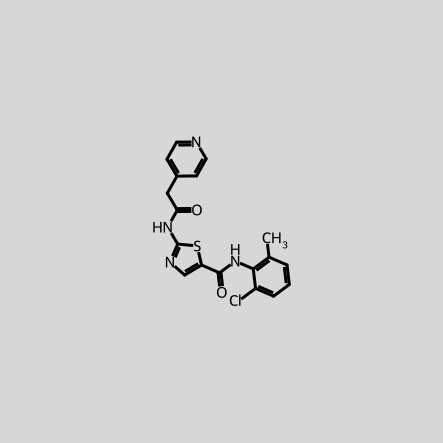 Cc1cccc(Cl)c1NC(=O)c1cnc(NC(=O)Cc2ccncc2)s1